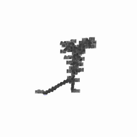 CCCCCCCC/C=C\CCCCCCCCCCCCCCCC(=O)N[C@@H](CO[C@@H]1OC(CO)[C@@H](O[C@@H]2OC(CO)[C@H](O[C@@H]3OC(CO)[C@H](O)[C@H](O[C@@H]4OC(CO)[C@H](O[C@@H]5OC(CO)[C@H](O)[C@H](O[C@@H]6OC(CO)[C@H](O)[C@H](O)C6O)C5NC(C)=O)[C@H](O[C@]5(C(=O)O)CC(O)[C@@H](NC(C)=O)C([C@H](O)[C@H](O)CO)O5)C4O)C3NC(C)=O)[C@H](O)C2O)[C@H](O)C1O)[C@H](O)/C=C/CCCCCCCCCCCCC